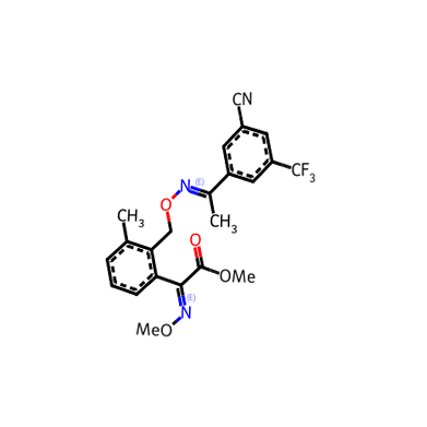 CO/N=C(/C(=O)OC)c1cccc(C)c1CO/N=C(\C)c1cc(C#N)cc(C(F)(F)F)c1